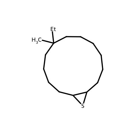 CCC1(C)CCCCCCC2SC2CCCC1